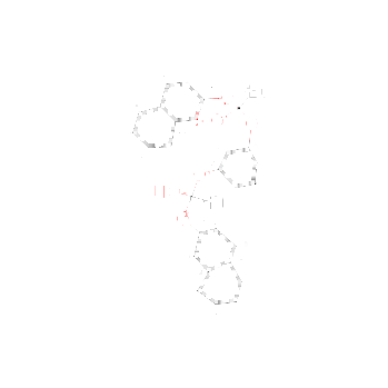 CCC(O)(Oc1cccc(OC(O)(CC)Oc2ccc3ccccc3c2)c1)Oc1ccc2ccccc2c1